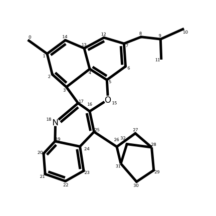 Cc1cc2c3c(cc(CC(C)C)cc3c1)Oc1c-2nc2ccccc2c1C1CC2CCC1C2